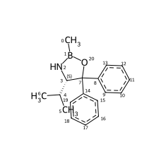 CB1N[C@@H](C(C)C)C(c2ccccc2)(c2ccccc2)O1